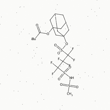 CCC(C)C(=O)OC12CC3CC(C1)CC(OS(=O)(=O)C(F)(F)C(F)(F)C(F)(F)S(=O)(=O)NS(C)(=O)=O)(C3)C2